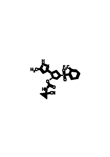 Cc1cc(N2C[C@H](S(=O)(=O)c3ccccc3C(F)(F)F)C[C@@H]2OC(=O)NC2(C#N)CC2)n[nH]1